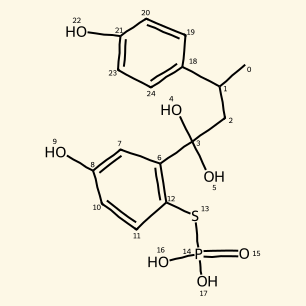 CC(CC(O)(O)c1cc(O)ccc1SP(=O)(O)O)c1ccc(O)cc1